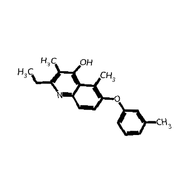 CCc1nc2ccc(Oc3cccc(C)c3)c(C)c2c(O)c1C